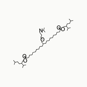 CC(C)CCC(COC(=O)CCCCCCCCCC(CCCCCCCCCC(=O)OCC(CCC(C)C)C(C)C)COCCCN(C)C(C)C)C(C)C